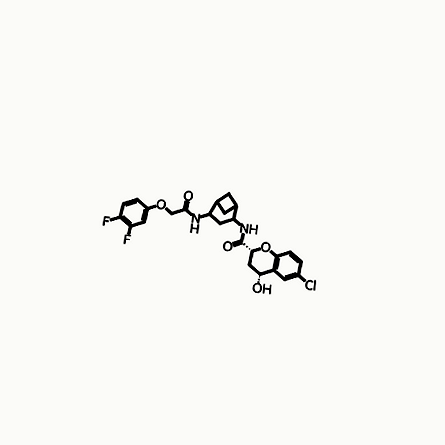 O=C(COc1ccc(F)c(F)c1)NC1CC(NC(=O)[C@H]2C[C@@H](O)c3cc(Cl)ccc3O2)C2CC1C2